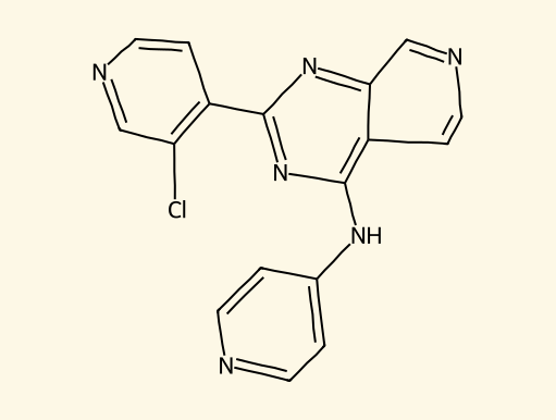 Clc1cnccc1-c1nc(Nc2ccncc2)c2ccncc2n1